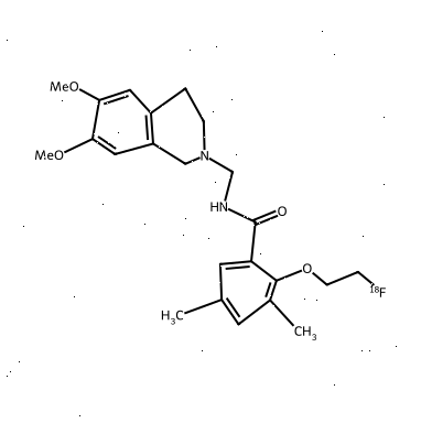 COc1cc2c(cc1OC)CN(CNC(=O)c1cc(C)cc(C)c1OCC[18F])CC2